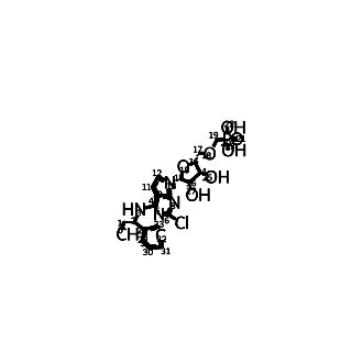 CC[C@@H](Nc1nc(Cl)nc2c1ccn2[C@@H]1O[C@H](COCP(=O)(O)O)[C@@H](O)[C@H]1O)c1ccccc1